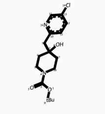 CC(C)(C)OC(=O)N1CCC(O)(Cc2ccc(Cl)cn2)CC1